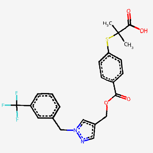 CC(C)(Sc1ccc(C(=O)OCc2cnn(Cc3cccc(C(F)(F)F)c3)c2)cc1)C(=O)O